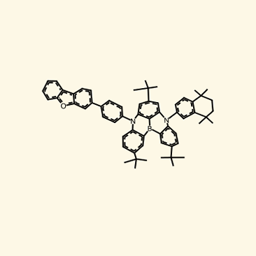 CC(C)(C)c1ccc2c(c1)B1c3cc(C(C)(C)C)ccc3N(c3ccc4c(c3)C(C)(C)CCC4(C)C)c3cc(C(C)(C)C)cc(c31)N2c1ccc(-c2ccc3c(c2)oc2ccccc23)cc1